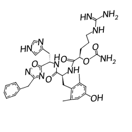 Cc1cc(O)cc(C)c1C[C@H](NC(=O)[C@@H](CCCNC(=N)N)OC(N)=O)C(=O)N[C@@H](Cc1c[nH]cn1)c1nc(Cc2ccccc2)no1